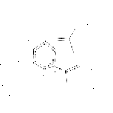 C=C(C)C.C=C(C)c1ccccc1